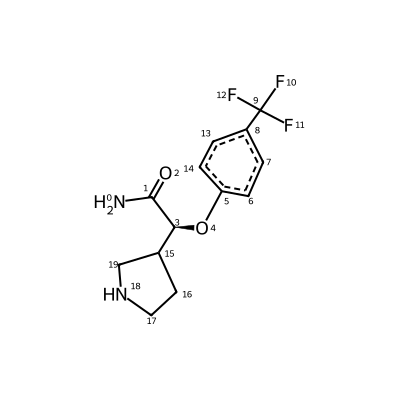 NC(=O)[C@@H](Oc1ccc(C(F)(F)F)cc1)C1CCNC1